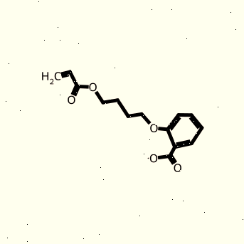 C=CC(=O)OCCCCOc1ccccc1C([O])=O